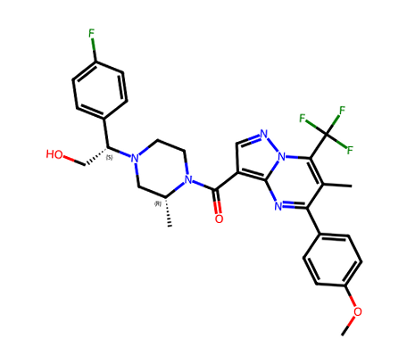 COc1ccc(-c2nc3c(C(=O)N4CCN([C@H](CO)c5ccc(F)cc5)C[C@H]4C)cnn3c(C(F)(F)F)c2C)cc1